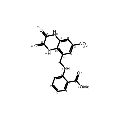 COC(=O)c1ccccc1NCc1cc([N+](=O)[O-])cc2[nH]c(=O)c(=O)[nH]c12